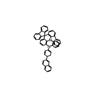 C1=CC(c2ccc3ccccc3c2)CC=C1N(c1ccccc1)c1cccc2c1-n1c3ccccc3c3cccc(c31)C21c2ccccc2-c2ccccc21